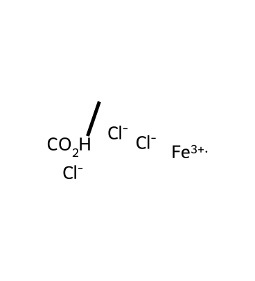 CC(=O)O.[Cl-].[Cl-].[Cl-].[Fe+3]